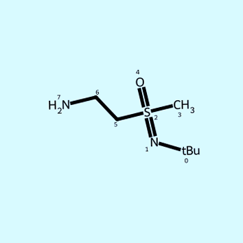 CC(C)(C)N=S(C)(=O)CCN